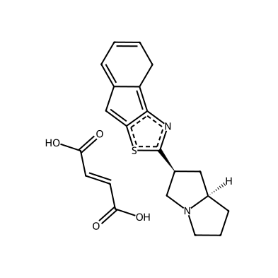 C1=CCC2=c3nc([C@H]4C[C@H]5CCCN5C4)sc3=CC2=C1.O=C(O)C=CC(=O)O